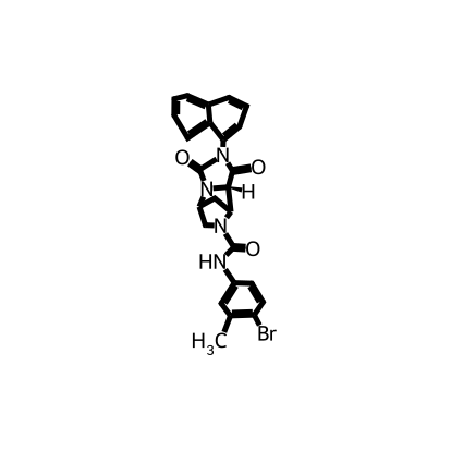 Cc1cc(NC(=O)N2CC3CC2[C@H]2C(=O)N(c4cccc5ccccc45)C(=O)N32)ccc1Br